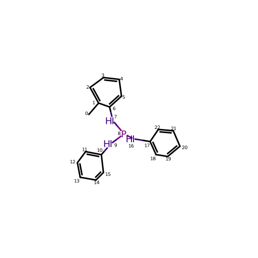 Cc1ccccc1[IH]P([IH]c1ccccc1)[IH]c1ccccc1